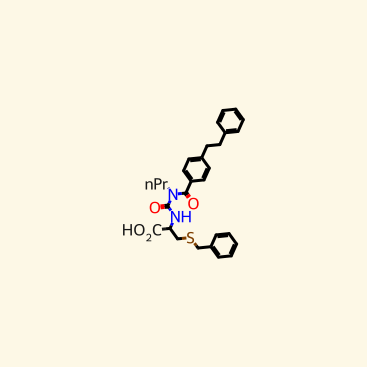 CCCN(C(=O)NC(CSCc1ccccc1)C(=O)O)C(=O)c1ccc(CCc2ccccc2)cc1